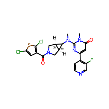 CN(c1nc(-c2ccncc2F)cc(=O)n1C)C1[C@H]2CN(C(=O)c3cc(Cl)sc3Cl)C[C@@H]12